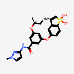 COC[C@H](C)Oc1cc(Oc2ccc3c(c2)C=CS3(O)O)cc(C(=O)Nc2ccn(C)n2)c1